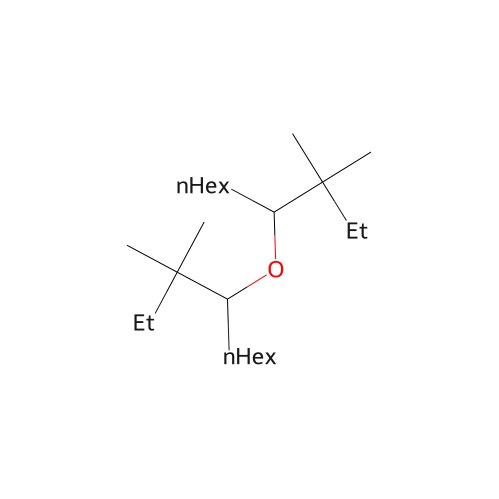 CCCCCCC(OC(CCCCCC)C(C)(C)CC)C(C)(C)CC